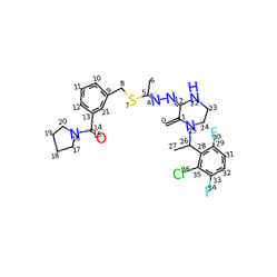 C=C1/C(=N\N=C(/C)SCc2cccc(C(=O)N3CCCC3)c2)NCCN1C(C)c1c(F)ccc(F)c1Cl